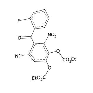 CCOC(=O)Oc1cc(C#N)c(C(=O)c2ccccc2F)c([N+](=O)[O-])c1OC(=O)OCC